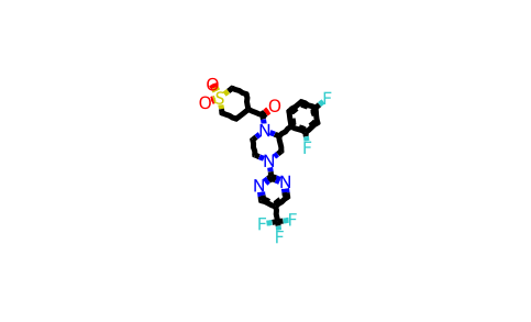 O=C(C1CCS(=O)(=O)CC1)N1CCN(c2ncc(C(F)(F)F)cn2)CC1c1ccc(F)cc1F